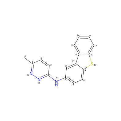 Cc1ccc(Nc2ccc3sc4ccccc4c3c2)nn1